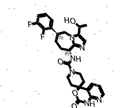 CC(O)c1cnc2n1C[C@H](c1cccc(F)c1F)CC[C@H]2NC(=O)N1CCC2(CC1)OC(=O)Nc1ncccc12